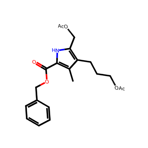 CC(=O)OCCCc1c(COC(C)=O)[nH]c(C(=O)OCc2ccccc2)c1C